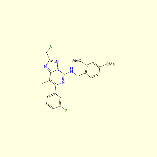 COc1ccc(CNc2nc(-c3cccc(F)c3)c(C)c3nc(CCl)nn23)c(OC)c1